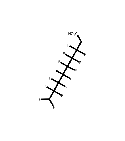 O=C(O)CC(F)(F)C(F)(F)C(F)(F)C(F)(F)C(F)(F)C(F)(F)C(F)F